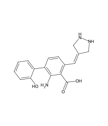 Nc1c(-c2ccccc2O)ccc(C=C2CNNC2)c1C(=O)O